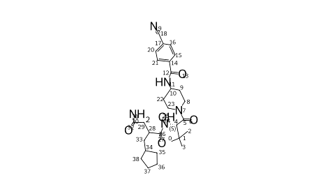 CC(C)(C)[C@@H](C(=O)N1CCC(NC(=O)c2ccc(C#N)cc2)CC1)N(O)C(=O)C(CC(N)=O)CC1CCCC1